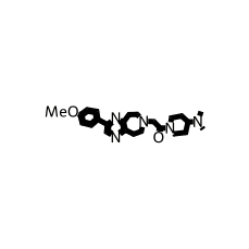 COc1ccc(-c2cnc3c(n2)CCN(CC(=O)N2CCC(N(C)C)CC2)CC3)cc1